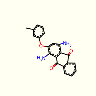 Cc1cccc(Oc2cc(N)c3c(c2N)C(=O)c2ccccc2C3=O)c1